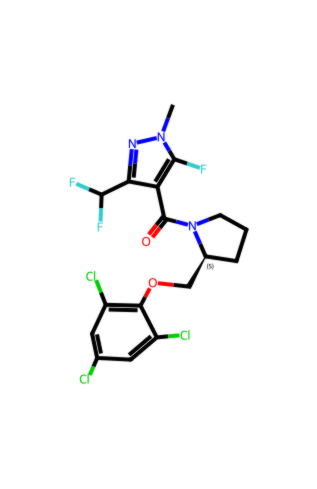 Cn1nc(C(F)F)c(C(=O)N2CCC[C@H]2COc2c(Cl)cc(Cl)cc2Cl)c1F